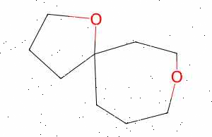 C1COCCC2(C1)CCCO2